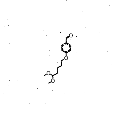 COC(CCCCOc1ccc(C=O)cc1)OC